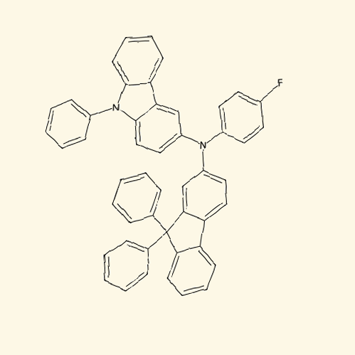 Fc1ccc(N(c2ccc3c(c2)C(c2ccccc2)(c2ccccc2)c2ccccc2-3)c2ccc3c(c2)c2ccccc2n3-c2ccccc2)cc1